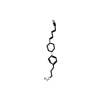 CCCCc1ccc([C@H]2CC[C@H](C=CC=CC#N)CC2)cc1